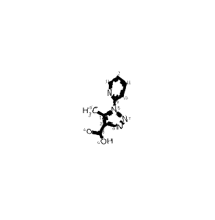 Cc1c(C(=O)O)nnn1-c1ccccn1